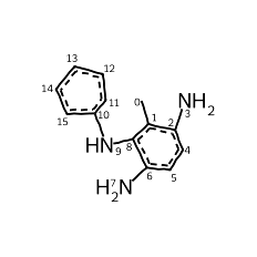 Cc1c(N)ccc(N)c1Nc1ccccc1